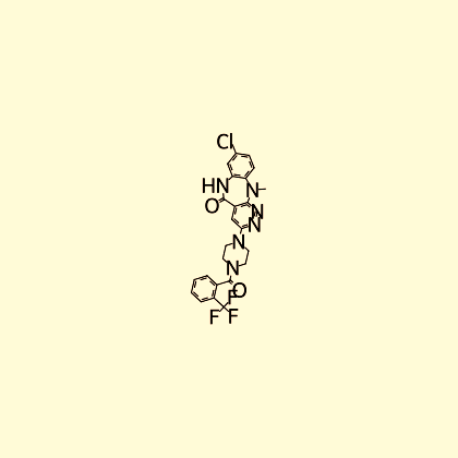 CN1c2ccc(Cl)cc2NC(=O)c2cc(N3CCN(C(=O)c4ccccc4C(F)(F)F)CC3)nnc21